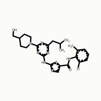 Cc1cccc(Cl)c1NC(=O)c1cnc(Nc2nc(CC(C)C)nc(N3CCC(CO)CC3)n2)s1